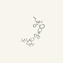 C=CCNC(=O)c1cccc2c1CN(C(=O)O[C@@H]1C[C@@H](C(=O)OC)N(C(=O)OC(C)(C)C)C1)C2